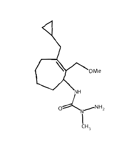 COCC1=C(CC2CC2)CCCCC1NC(=O)N(C)N